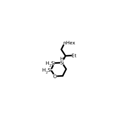 CCCCCCCC(CC)[SiH]1CCO[SiH2][SiH2]1